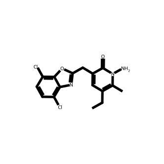 CCc1cc(Cc2nc3c(Cl)ccc(Cl)c3o2)c(=O)n(N)c1C